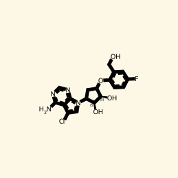 Nc1ncnc2c1c(Cl)cn2C1CC(Oc2ccc(F)cc2CO)[C@@H](O)[C@H]1O